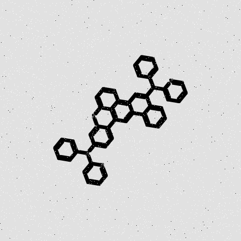 c1ccc(B(c2ccc3c(c2)Sc2cccc4c2c-3cc2c3ccccc3c(C(c3ccccc3)c3ccccn3)cc42)c2ccccn2)cc1